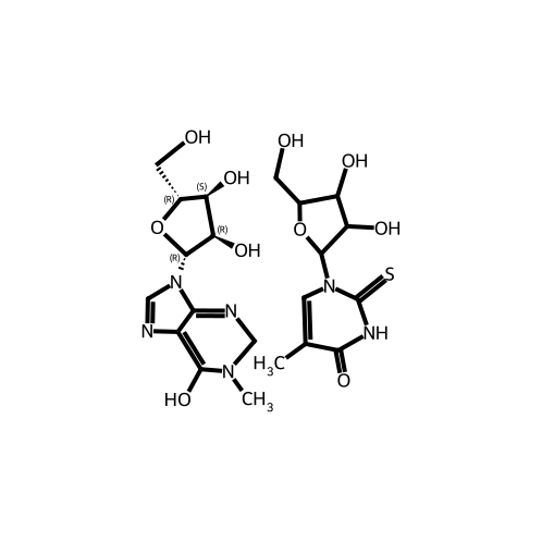 CN1CN=c2c(ncn2[C@@H]2O[C@H](CO)[C@@H](O)[C@H]2O)=C1O.Cc1cn(C2OC(CO)C(O)C2O)c(=S)[nH]c1=O